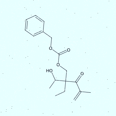 C=C(C)C(=O)C(CC)(COC(=O)OCc1ccccc1)C(C)O